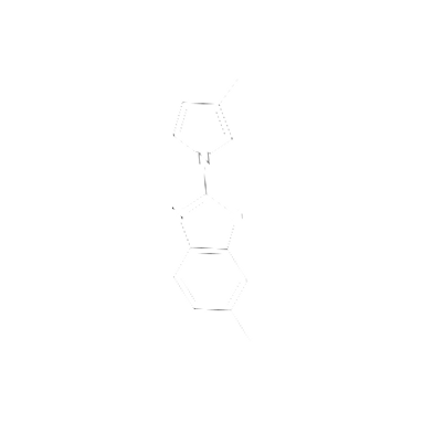 Cc1ccc2nc(-n3ccc(C)c3)oc2c1